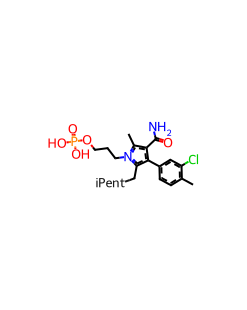 CCCC(C)Cc1c(-c2ccc(C)c(Cl)c2)c(C(N)=O)c(C)n1CCCOP(=O)(O)O